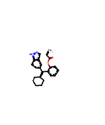 C=CC(=O)Oc1ccccc1C(=C1CCCCC1)c1ccc2[nH]ncc2c1